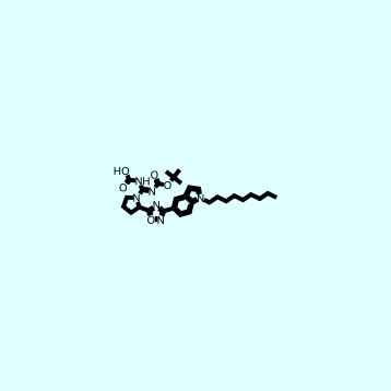 CCCCCCCCCn1ccc2cc(-c3noc(C4CCCN4C(=NC(=O)OC(C)(C)C)NC(=O)O)n3)ccc21